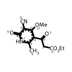 CCOC(=O)CC(=O)c1c(C)[nH]c(=O)c(C#N)c1OC